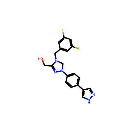 OCC1=NN(c2ccc(-c3cn[nH]c3)cc2)CN1Cc1cc(F)cc(F)c1